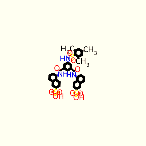 Cc1cc(C)c(S(=O)(=O)Nc2cc(C(=O)Nc3cccc4cc(S(=O)(=O)O)ccc34)cc(C(=O)Nc3cccc4cc(S(=O)(=O)O)ccc34)c2)c(C)c1